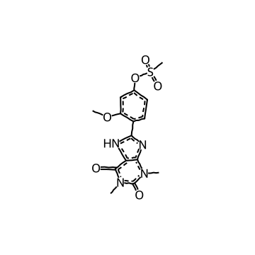 COc1cc(OS(C)(=O)=O)ccc1-c1nc2c([nH]1)c(=O)n(C)c(=O)n2C